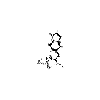 CC(Cc1ccc2occc2c1)N[S@@+]([O-])C(C)(C)C